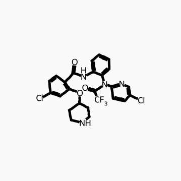 O=C(Nc1ccccc1N(C(=O)C(F)(F)F)c1ccc(Cl)cn1)c1ccc(Cl)cc1OC1CCNCC1